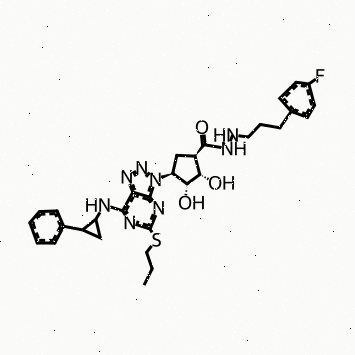 CCCSc1nc(NC2CC2c2ccccc2)c2nnn([C@H]3C[C@@H](C(=O)NNCCCc4ccc(F)cc4)[C@H](O)[C@@H]3O)c2n1